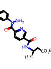 CCOC(=O)CC(C)NC(=O)c1ccc(C(=O)N(N)c2ccccc2)nc1